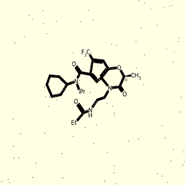 CCC(=O)NCCN1C(=O)[C@H](C)Oc2cc(C(F)(F)F)c(C(=O)N(C(C)C)C3CCCCC3)cc21